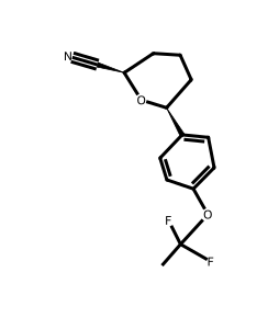 CC(F)(F)Oc1ccc([C@@H]2CCC[C@H](C#N)O2)cc1